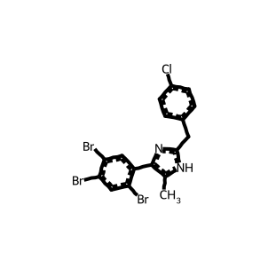 Cc1[nH]c(Cc2ccc(Cl)cc2)nc1-c1cc(Br)c(Br)cc1Br